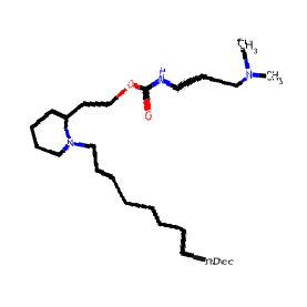 CCCCCCCCCCCCCCCCCCN1CCCCC1CCOC(=O)NCCCN(C)C